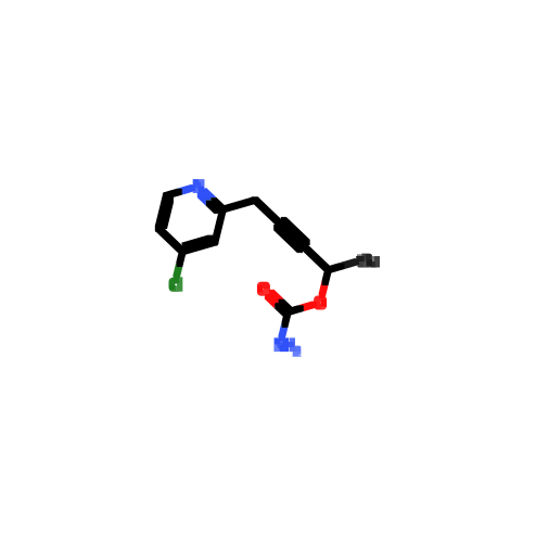 CC(C)(C)C(C#CCc1cc(Cl)ccn1)OC(N)=O